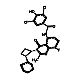 Cc1nc2c(F)ccc(NC(=O)c3cc(Cl)c(O)c(Cl)c3)c2c(=O)n1[C@H]1CC[C@@H]1c1ccccc1